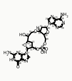 Nc1nc2c(ncn2C2OC3C[C@@H]2OP(=O)(O)OCC2O[C@@H](n4cnc5c(N)ncnc54)C[C@H]2OCC3O)c(=O)[nH]1